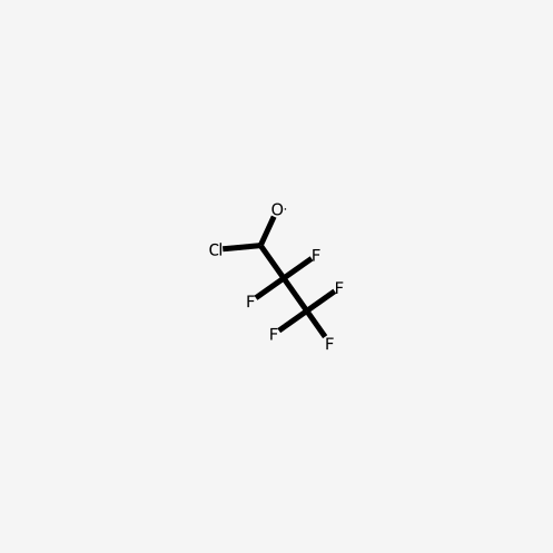 [O]C(Cl)C(F)(F)C(F)(F)F